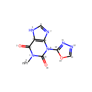 CCCn1c(=O)c2[nH]cnc2n(-c2nnco2)c1=O